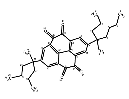 CCCCC(C)(CCC)c1cc2c3c(c1)c(=O)c(=O)c1cc(C(C)(CCC)CCC)cc(c1-3)c(=O)c2=O